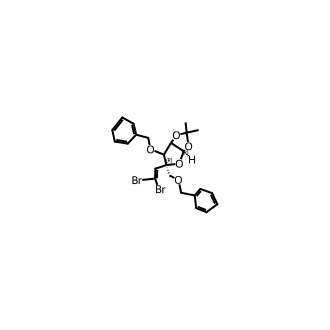 CC1(C)OC2C(OCc3ccccc3)[C@@](C=C(Br)Br)(COCc3ccccc3)O[C@@H]2O1